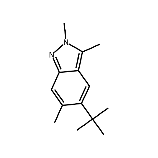 Cc1cc2nn(C)c(C)c2cc1C(C)(C)C